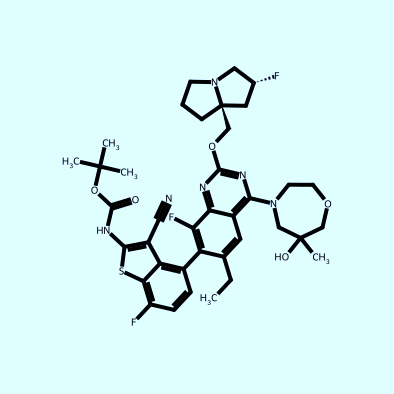 CCc1cc2c(N3CCOCC(C)(O)C3)nc(OC[C@@]34CCCN3C[C@H](F)C4)nc2c(F)c1-c1ccc(F)c2sc(NC(=O)OC(C)(C)C)c(C#N)c12